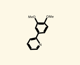 COc1ccc(-c2c[c]ccn2)cc1OC